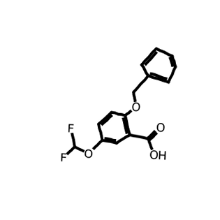 O=C(O)c1cc(OC(F)F)ccc1OCc1ccccc1